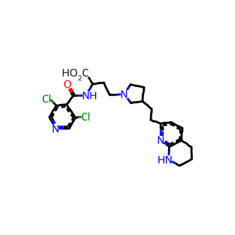 O=C(NC(CCN1CCC(CCc2ccc3c(n2)NCCC3)C1)C(=O)O)c1c(Cl)cncc1Cl